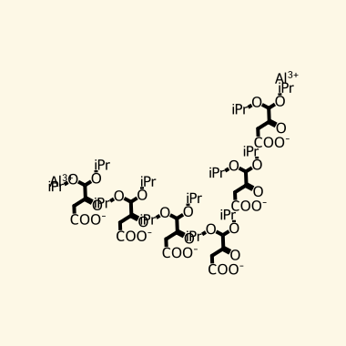 CC(C)OC(OC(C)C)C(=O)CC(=O)[O-].CC(C)OC(OC(C)C)C(=O)CC(=O)[O-].CC(C)OC(OC(C)C)C(=O)CC(=O)[O-].CC(C)OC(OC(C)C)C(=O)CC(=O)[O-].CC(C)OC(OC(C)C)C(=O)CC(=O)[O-].CC(C)OC(OC(C)C)C(=O)CC(=O)[O-].[Al+3].[Al+3]